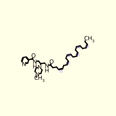 CC/C=C\C/C=C\C/C=C\C/C=C\C/C=C\C/C=C\CCC(=O)NCC(CNC(=O)c1cccnc1)N1CCN(C)CC1